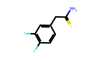 NC(=S)Cc1ccc(F)c(F)c1